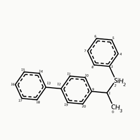 CC([SiH2]c1ccccc1)c1ccc(-c2ccccc2)cc1